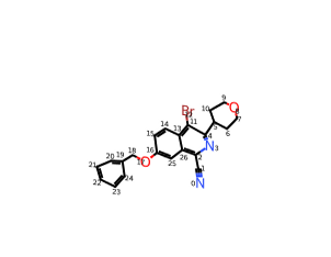 N#Cc1nc(C2CCOCC2)c(Br)c2ccc(OCc3ccccc3)cc12